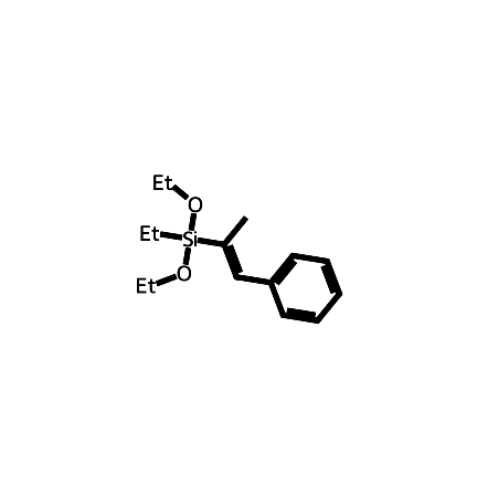 CCO[Si](CC)(OCC)/C(C)=C/c1ccccc1